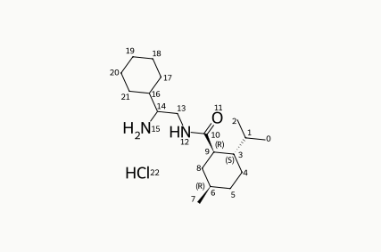 CC(C)[C@@H]1CC[C@@H](C)C[C@H]1C(=O)NCC(N)C1CCCCC1.Cl